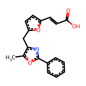 Cc1oc(-c2ccccc2)nc1Cc1ccc(C=CC(=O)O)o1